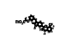 CCOC(=O)C(C)Oc1cccc(Cc2c(C)n(C)c3cc(C(=O)N[C@@H](C)c4cccc(C(F)(F)F)c4)ccc23)c1